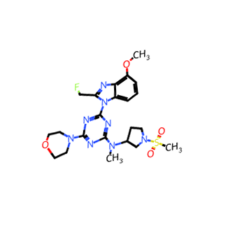 COc1cccc2c1nc(CF)n2-c1nc(N2CCOCC2)nc(N(C)C2CCN(S(C)(=O)=O)C2)n1